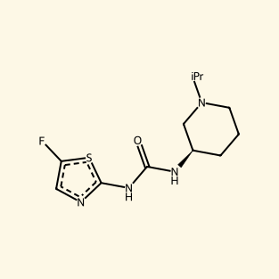 CC(C)N1CCC[C@@H](NC(=O)Nc2ncc(F)s2)C1